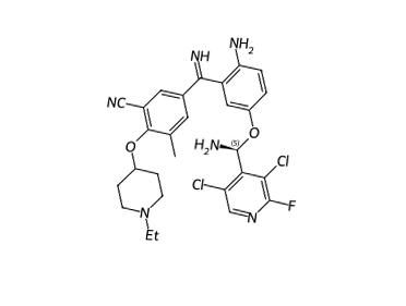 CCN1CCC(Oc2c(C)cc(C(=N)c3cc(O[C@H](N)c4c(Cl)cnc(F)c4Cl)ccc3N)cc2C#N)CC1